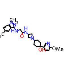 COc1ccc([C@]2(O)CC[C@H](N3CC(NC(=O)CNc4nn(C)c5ccc(C)cc45)C3)CC2)cn1